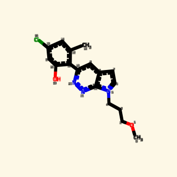 COCCCn1ccc2cc(-c3c(C)cc(Cl)cc3O)nnc21